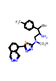 CC(C)(C)C(c1ccc(C(F)(F)F)cc1)C(N)CN(C(=O)O)c1nnc(-c2cccc3cnncc23)s1